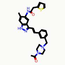 CC(=O)N1CCN(Cc2cccc(C=Cc3n[nH]c4cc(C)c(NC(=O)Cc5cccs5)cc34)c2)CC1